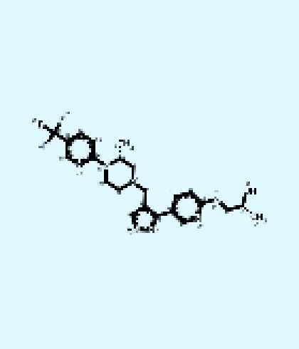 C[C@@H]1CN(Cc2c[nH]nc2-c2ccc(NC[C@@H](C)O)nc2)CCN1c1ccc(C(F)(F)F)cn1